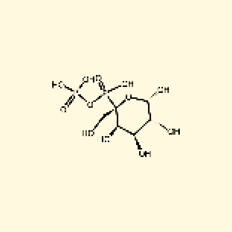 O=P(O)(O)OP(=O)(O)[C@]1(CO)O[C@H](O)[C@H](O)[C@@H](O)[C@H]1O